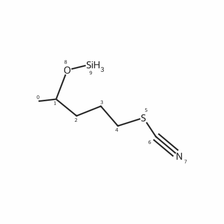 CC(CCCSC#N)O[SiH3]